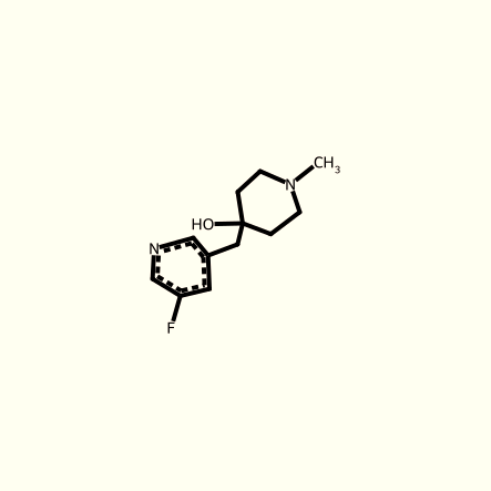 CN1CCC(O)(Cc2cncc(F)c2)CC1